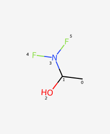 CC(O)N(F)F